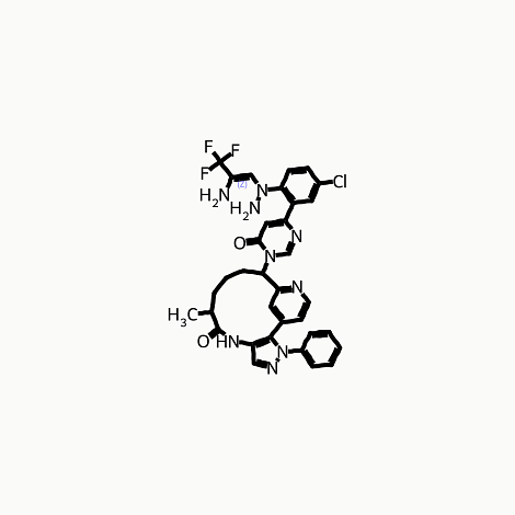 CC1CCCC(n2cnc(-c3cc(Cl)ccc3N(N)/C=C(\N)C(F)(F)F)cc2=O)c2cc(ccn2)-c2c(cnn2-c2ccccc2)NC1=O